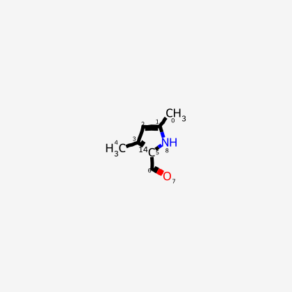 Cc1cc(C)[14c](C=O)[nH]1